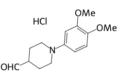 COc1ccc(N2CCC(C=O)CC2)cc1OC.Cl